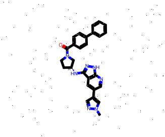 Cn1cc(-c2cnc3[nH]nc(N[C@@H]4CCN(C(=O)c5ccc(-c6ccccc6)cc5)C4)c3c2)cn1